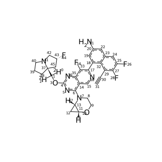 [2H]C([2H])(Oc1nc(N2CCO[C@@H]3C[C@@H]32)c2cnc(-c3cc(N)cc4cc(F)c(F)c(C#C)c34)c(F)c2n1)[C@@]12CCCN1C[C@H](F)C2